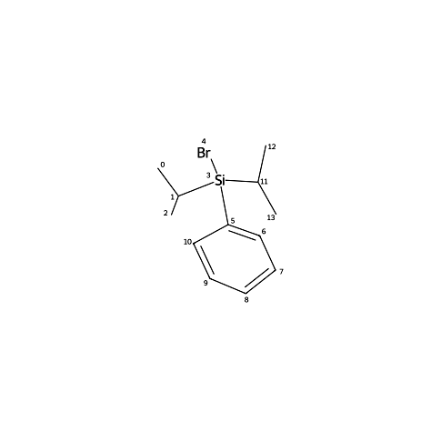 CC(C)[Si](Br)(c1ccccc1)C(C)C